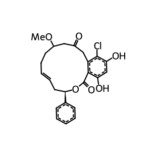 COC1CC/C=C/C[C@H](c2ccccc2)OC(=O)c2c(O)cc(O)c(Cl)c2CC(=O)C1